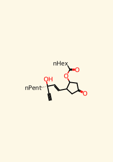 C#C[C@@](O)(C=CC1CC(=O)CC1OC(=O)CCCCCC)CCCCC